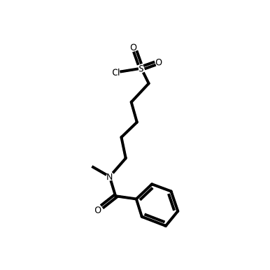 CN(CCCCCS(=O)(=O)Cl)C(=O)c1ccccc1